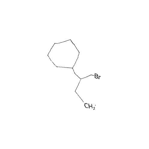 [CH2]CC(Br)C1CCCCC1